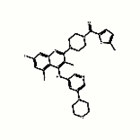 Cc1ccc(C(=O)N2CCN(c3nc4cc(F)cc(F)c4c(Nc4cncc(N5CCOCC5)c4)c3C)CC2)o1